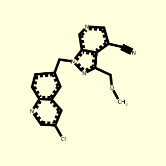 COCc1nn(Cc2ccc3ncc(Cl)cc3c2)c2cncc(C#N)c12